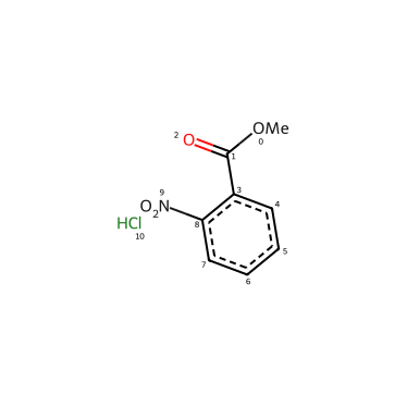 COC(=O)c1ccccc1[N+](=O)[O-].Cl